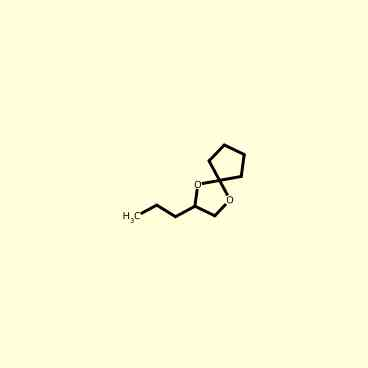 CCCC1COC2(CCCC2)O1